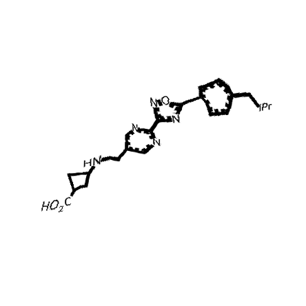 CC(C)Cc1ccc(-c2nc(-c3ncc(CNC4CC(C(=O)O)C4)cn3)no2)cc1